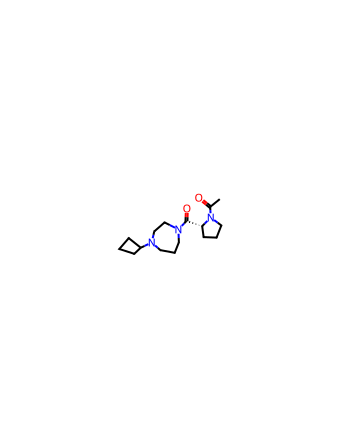 CC(=O)N1CCC[C@@H]1C(=O)N1CCCN(C2CCC2)CC1